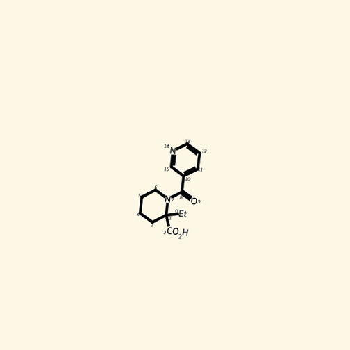 CCC1(C(=O)O)CCCCN1C(=O)c1cccnc1